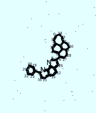 C1=CC2=CC=C3C(c4cnc5c(ccc6ccc(-c7ccccc7)nc65)c4)=CCC4CCC(=CC1)C2C34